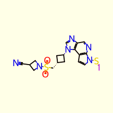 N#CC1CN(S(=O)(=O)C[C@H]2C[C@@H](n3cnc4cnc5c(ccn5SI)c43)C2)C1